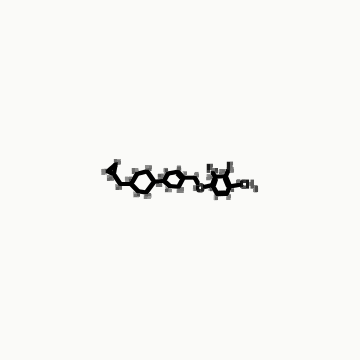 Cc1ccc(OCC2=CCC(C3CCC(CC4CC4)CC3)CC2)c(F)c1F